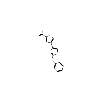 O=C(O)c1cc(-c2csc(Nc3ccccc3)n2)c[nH]1